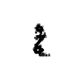 O=C1C(=Cc2ccc(O)cc2)SC(=S)N1c1ccc(Br)cc1